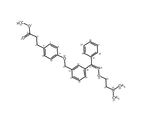 COC(=O)CCc1ccc(OCc2cccc(/C(=N\OCCN(C)C)c3ccccc3)c2)cc1